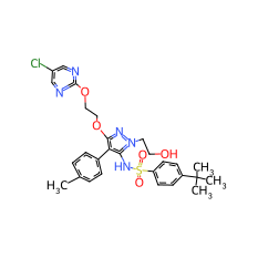 Cc1ccc(-c2c(OCCOc3ncc(Cl)cn3)nn(CCO)c2NS(=O)(=O)c2ccc(C(C)(C)C)cc2)cc1